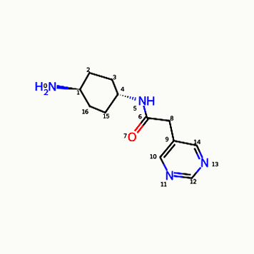 N[C@H]1CC[C@H](NC(=O)Cc2cncnc2)CC1